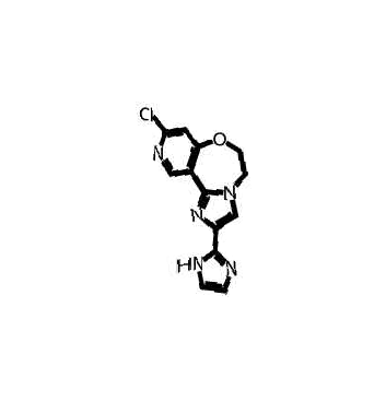 Clc1cc2c(cn1)-c1nc(-c3ncc[nH]3)cn1CCO2